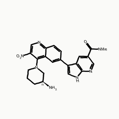 CNC(=O)c1cnc2[nH]cc(-c3ccc4ncc([N+](=O)[O-])c(N5CCC[C@H](N)C5)c4c3)c2c1